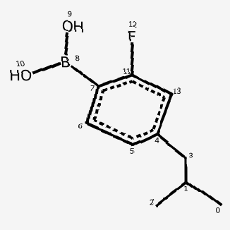 CC(C)Cc1ccc(B(O)O)c(F)c1